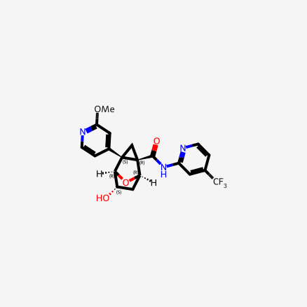 COc1cc([C@@]23C[C@]2(C(=O)Nc2cc(C(F)(F)F)ccn2)[C@H]2C[C@H](O)[C@@H]3O2)ccn1